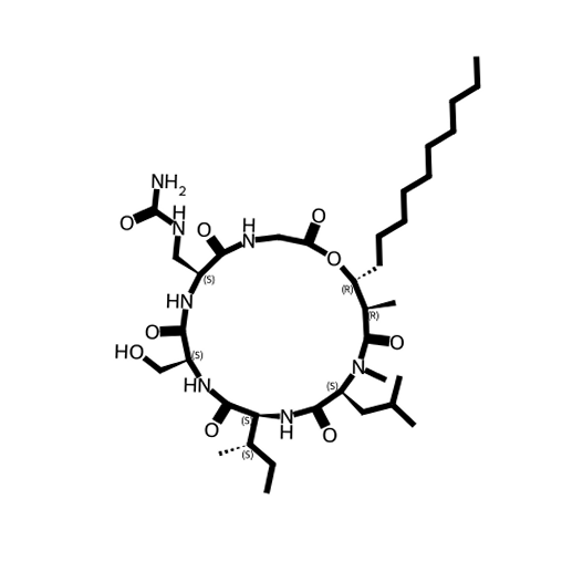 CCCCCCCCCC[C@H]1OC(=O)CNC(=O)[C@H](CNC(N)=O)NC(=O)[C@H](CO)NC(=O)[C@H]([C@@H](C)CC)NC(=O)[C@H](CC(C)C)N(C)C(=O)[C@@H]1C